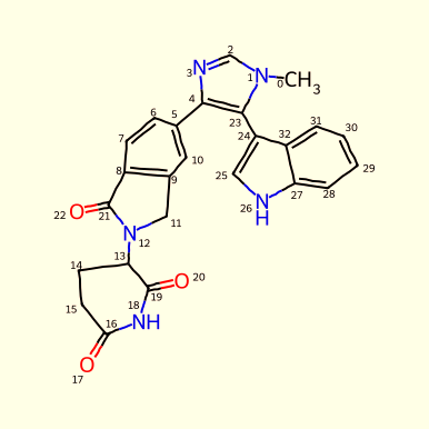 Cn1cnc(-c2ccc3c(c2)CN(C2CCC(=O)NC2=O)C3=O)c1-c1c[nH]c2ccccc12